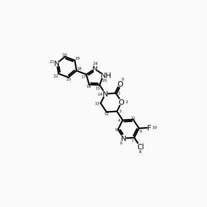 O=C1OC(c2cnc(Cl)c(F)c2)CCN1c1cc(-c2ccncc2)n[nH]1